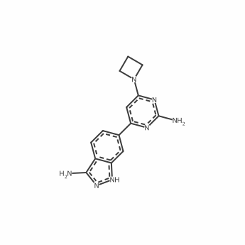 Nc1nc(-c2ccc3c(N)n[nH]c3c2)cc(N2CCC2)n1